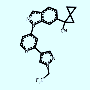 N#CC1(c2ccc3cnn(-c4ccnc(-c5cnn(CC(F)(F)F)c5)c4)c3c2)CC12CC2